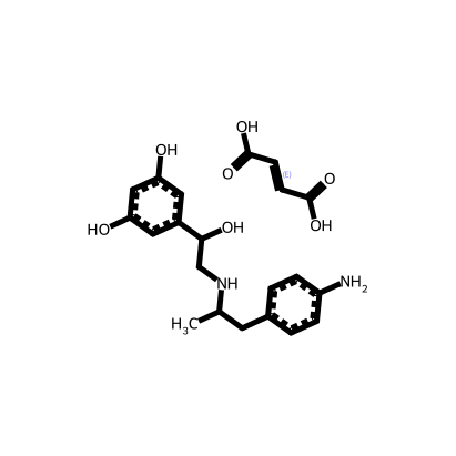 CC(Cc1ccc(N)cc1)NCC(O)c1cc(O)cc(O)c1.O=C(O)/C=C/C(=O)O